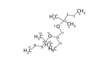 CCCC(C)(C)OCC(CC)OC(C)(C)CCC